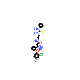 O=C(CC1(c2ccccc2Oc2ccc(Cl)cc2Cl)N=NN=N1)NCCCNC(=S)Nc1ccccc1